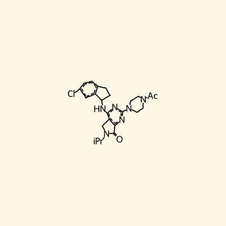 CC(=O)N1CCN(c2nc(NC3CCc4ccc(Cl)cc43)c3c(n2)C(=O)N(C(C)C)C3)CC1